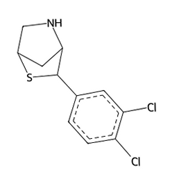 Clc1ccc(C2SC3CNC2C3)cc1Cl